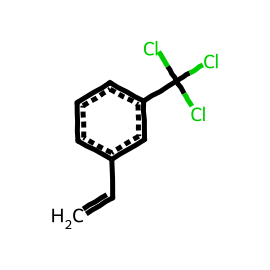 C=Cc1cccc(C(Cl)(Cl)Cl)c1